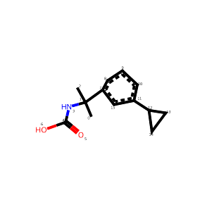 CC(C)(NC(=O)O)c1cccc(C2CC2)c1